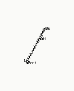 CCCCCC(=O)CCCCCCCCCCCCCCCCCCC(O)CCCCCCCC(C)CC